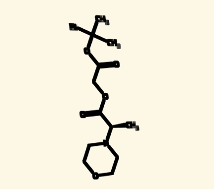 CCC(C)(C)OC(=O)COC(=O)[C@@H](C)N1CCOCC1